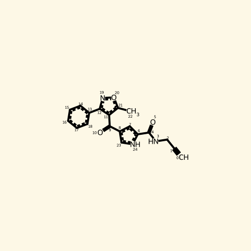 C#CCNC(=O)c1cc(C(=O)c2c(-c3ccccc3)noc2C)c[nH]1